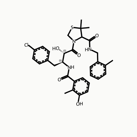 Cc1ccccc1CNC(=O)C1N(C(=O)[C@@H](O)[C@H](Cc2ccc(Cl)cc2)NC(=O)c2cccc(O)c2C)CSC1(C)C